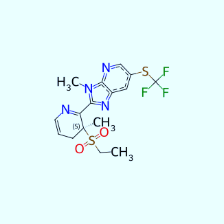 CCS(=O)(=O)[C@@]1(C)CC=CN=C1c1nc2cc(SC(F)(F)F)cnc2n1C